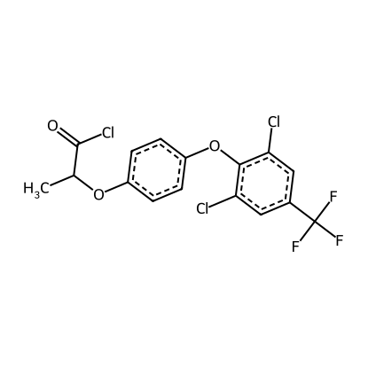 CC(Oc1ccc(Oc2c(Cl)cc(C(F)(F)F)cc2Cl)cc1)C(=O)Cl